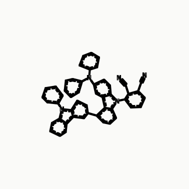 N#Cc1cccc(-n2c3ccc(N(c4ccccc4)c4ccccc4)cc3c3c(-c4ccc5c(c4)c4ccccc4n5-c4ccccc4)cccc32)c1C#N